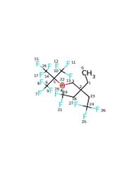 CCC(COC(C(F)(F)F)(C(F)(F)F)C(F)(F)F)(CC(F)(F)F)CC(F)(F)F